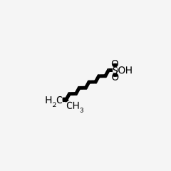 C=C(C)CCCCCCCCCS(=O)(=O)O